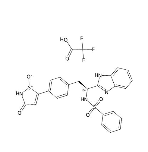 O=C(O)C(F)(F)F.O=c1cc(-c2ccc(C[C@H](NS(=O)(=O)c3ccccc3)c3nc4ccccc4[nH]3)cc2)[s+]([O-])[nH]1